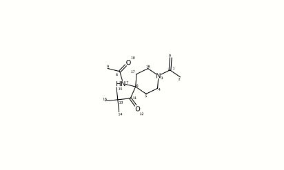 C=C(C)N1CCC(NC(C)=O)(C(=O)C(C)(C)C)CC1